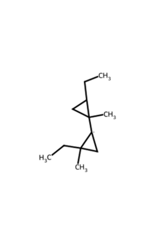 CCC1CC1(C)[C]1CC1(C)CC